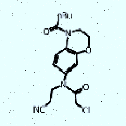 CCCCC(=O)N1CCOc2cc(N(CCC#N)C(=O)CCl)ccc21